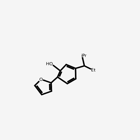 CCC(c1ccc(-c2ccco2)c(O)c1)C(C)C